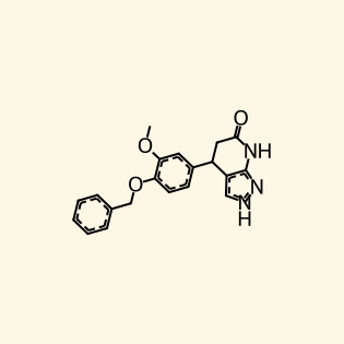 COc1cc(C2CC(=O)Nc3n[nH]cc32)ccc1OCc1ccccc1